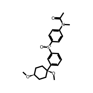 CO[C@H]1CC[C@](OC)(c2cccc([S+]([O-])c3ccc(N(C)C(C)=O)cc3)c2)CC1